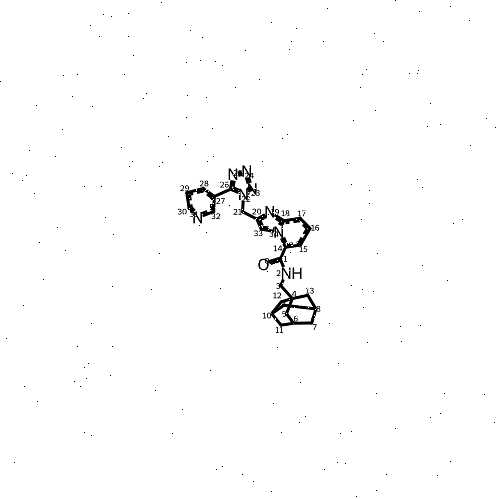 O=C(NCC12CC3CC(CC(C3)C1)C2)c1cccc2nc(Cn3nnnc3-c3cccnc3)cn12